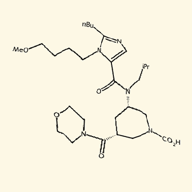 CCCCc1ncc(C(=O)N(CC(C)C)[C@H]2C[C@@H](C(=O)N3CCOCC3)CN(C(=O)O)C2)n1CCCCOC